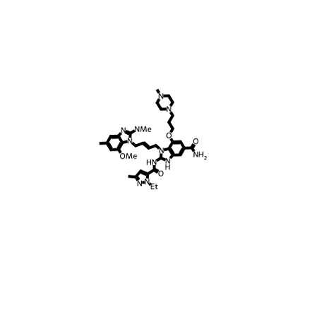 CCn1nc(C)cc1C(=O)NC1Nc2cc(C(N)=O)cc(OCCCN3CCN(C)CC3)c2N1C/C=C/Cn1c(NC)nc2cc(C)cc(OC)c21